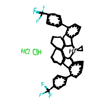 Cl.Cl.FC(F)(F)c1ccc(-c2cccc3c2C=C(C2CCCCC2)[CH]3[Hf]2([CH]3C(C4CCCCC4)=Cc4c(-c5ccc(C(F)(F)F)cc5)cccc43)[CH2][CH2]2)cc1